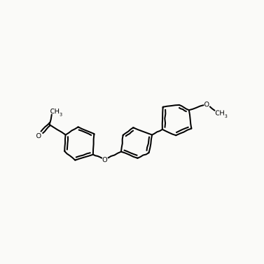 COc1ccc(-c2ccc(Oc3ccc(C(C)=O)cc3)cc2)cc1